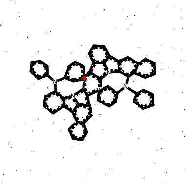 c1ccc(N(c2ccccc2)c2cccc3c4c5ccccc5cc5c6nc7c(cc6n(c23)c54)c2cccc3c4cc5ccccc5c(N(c5ccccc5)c5ccccc5)c4n7c23)cc1